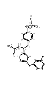 Cc1cccc(Cc2csc([C@H](Cc3ccc(N[SH](=O)=O)cc3)NC(=O)C(C)(C)C)n2)c1